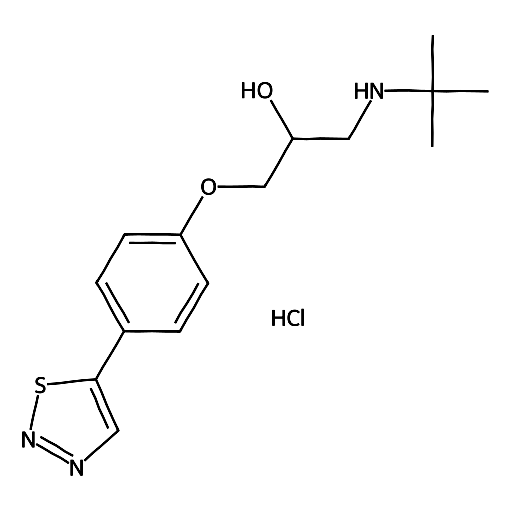 CC(C)(C)NCC(O)COc1ccc(-c2cnns2)cc1.Cl